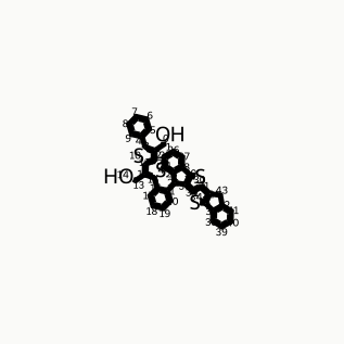 OCc1c(-c2ccccc2)sc2c(CO)c(-c3ccccc3C3c4ccccc4-c4sc5c6c(sc5c43)-c3ccccc3C6)sc12